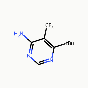 CC(C)(C)c1ncnc(N)c1C(F)(F)F